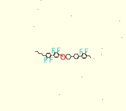 CCCCCc1ccc(-c2ccc(COC3CCC(C4CC=C(c5ccc(CC)c(F)c5F)CC4)CC3)c(F)c2F)c(F)c1F